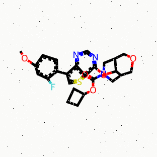 COc1ccc(-c2csc3c(OC4C5COCC4CN(C(=O)OC4CCC4)C5)ncnc23)c(F)c1